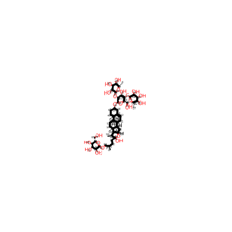 C[C@H](CC[C@@]1(O)O[C@H]2C[C@H]3[C@@H]4CC=C5C[C@@H](O[C@@H]6O[C@H](CO)[C@@H](O[C@@H]7O[C@@H](C)[C@H](O)[C@@H](O)[C@H]7O)[C@H](O)[C@H]6O[C@@H]6O[C@@H](C)[C@H](O)[C@@H](O)[C@H]6O)CC[C@]5(C)[C@H]4CC[C@]3(C)[C@H]2[C@@H]1C)CO[C@@H]1O[C@H](CO)[C@@H](O)[C@H](O)[C@H]1O